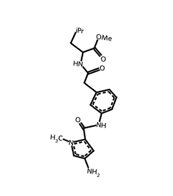 COC(=O)C(CC(C)C)NC(=O)Cc1cccc(NC(=O)c2cc(N)cn2C)c1